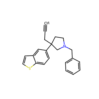 C#CCC1(c2ccc3sccc3c2)CCN(Cc2ccccc2)C1